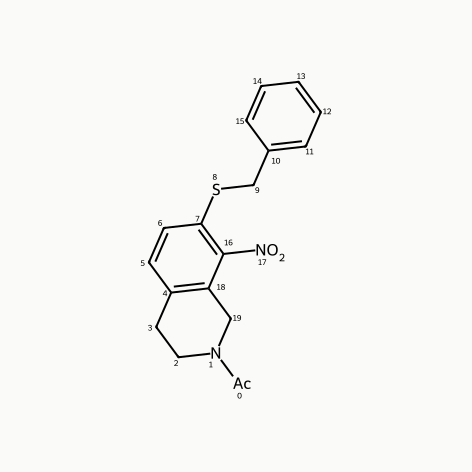 CC(=O)N1CCc2ccc(SCc3ccccc3)c([N+](=O)[O-])c2C1